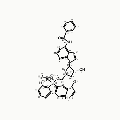 C=CCO[C@H]1[C@@H](O)[C@H](n2cnc3c(NC(=O)c4ccccc4)ncnc32)O[C@@H]1CO[Si](c1ccccc1)(c1ccccc1)C(C)(C)C